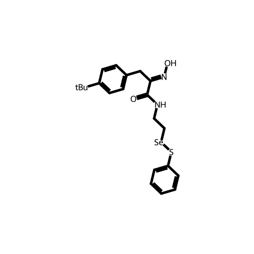 CC(C)(C)c1ccc(C/C(=N\O)C(=O)NCC[Se]Sc2ccccc2)cc1